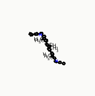 CC1(C)c2cc(-c3ccc4c(c3)C(C)(C)c3cc(-c5cccc(-c6ccc(-c7ccccc7)cc6)n5)ccc3-4)ccc2-c2ccc(-c3ccc4c(c3)C(C)(C)c3cc(-c5cccc(-c6ccc(-c7ccccc7)cc6)n5)ccc3-4)cc21